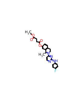 CCOC(=O)CCC(=O)Oc1ccc2c(c1)C(C)N(c1ccnc(Nc3ccc(F)cc3)n1)CC2